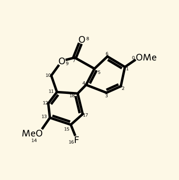 COc1ccc2c(c1)C(=O)OCc1cc(OC)c(F)cc1-2